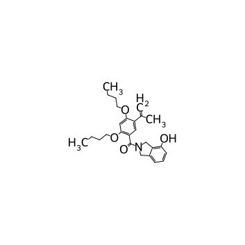 C=C(C)c1cc(C(=O)N2Cc3cccc(O)c3C2)c(OCCCC)cc1OCCCC